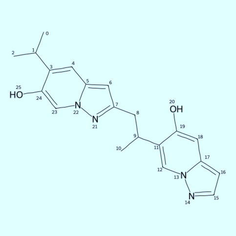 CC(C)c1cc2cc(CC(C)c3cn4nccc4cc3O)nn2cc1O